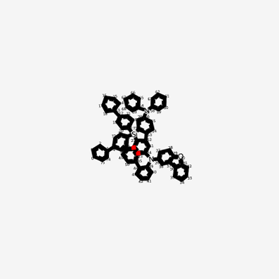 c1ccc(-c2ccc([Si]3(c4ccc(-c5ccccc5)cc4)c4ccc(N(c5ccc6oc7ccccc7c6c5)c5ccccc5-c5ccccc5)cc4-c4ccc(N(c5ccccc5)c5ccccc5)cc43)cc2)cc1